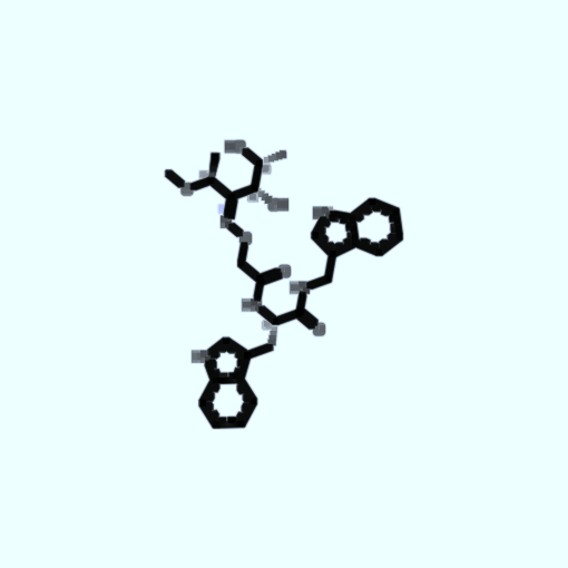 CO[C@@H](C)/C(=N/OCC(=O)N[C@@H](Cc1c[nH]c2ccccc12)C(=O)NCc1c[nH]c2ccccc12)[C@@H](O)[C@@H](C)O